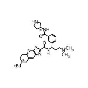 CN(C)CCC(NC(=O)c1nc2cc3c(nc2s1)CC[C@H](C(C)(C)C)C3)c1cccc(C(=O)N[C@H]2CCNC2)c1